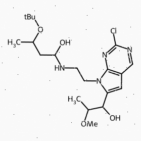 COC(C)C(O)c1cc2cnc(Cl)nc2n1CCNC(O)CC(C)OC(C)(C)C